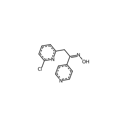 O/N=C(/Cc1cccc(Cl)n1)c1ccncc1